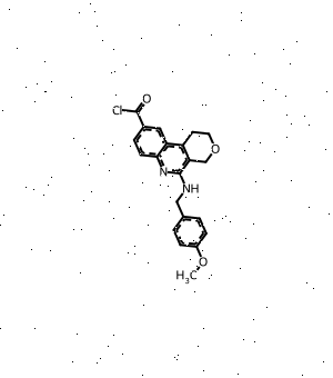 COc1ccc(CNc2nc3ccc(C(=O)Cl)cc3c3c2COCC3)cc1